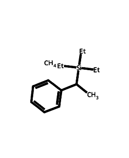 C.CC[Si](CC)(CC)C(C)c1ccccc1